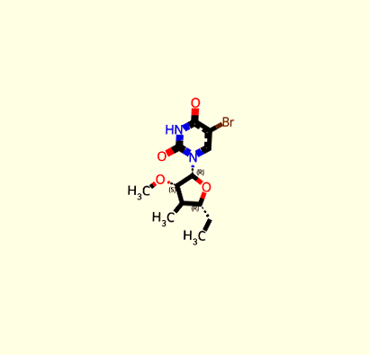 CC[C@H]1O[C@@H](n2cc(Br)c(=O)[nH]c2=O)[C@@H](OC)C1C